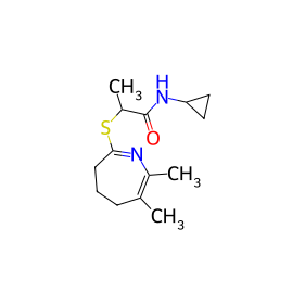 CC1=C(C)N=C(SC(C)C(=O)NC2CC2)CCC1